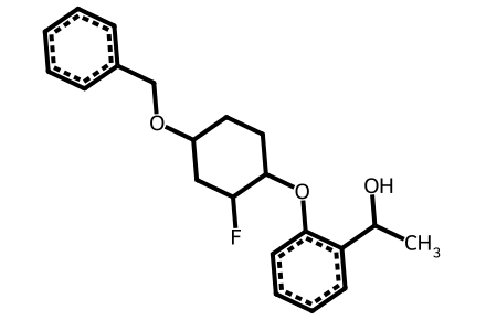 CC(O)c1ccccc1OC1CCC(OCc2ccccc2)CC1F